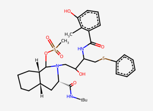 Cc1c(O)cccc1C(=O)NC(CSc1ccccc1)C(O)CN1C(OS(C)(=O)=O)[C@H]2CCCC[C@H]2C[C@H]1C(=O)NC(C)(C)C